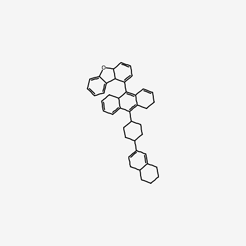 C1=CCC2C(=C1)C(C1CCC(C3=CCC4CCCCC4=C3)CC1)=C1CCC=CC1=C2C1=CC=CC2Oc3ccccc3C12